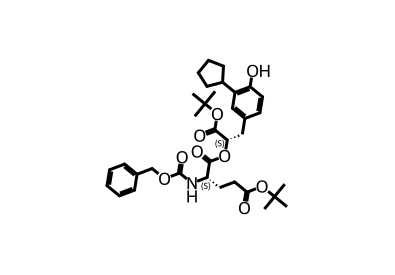 CC(C)(C)OC(=O)CC[C@H](NC(=O)OCc1ccccc1)C(=O)O[C@@H](Cc1ccc(O)c(C2CCCC2)c1)C(=O)OC(C)(C)C